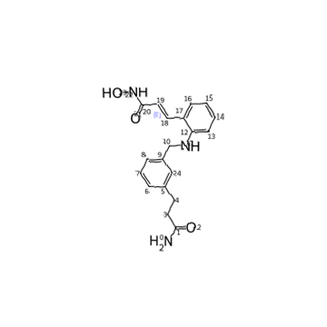 NC(=O)CCc1cccc(CNc2ccccc2/C=C/C(=O)NO)c1